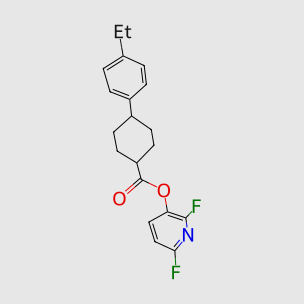 CCc1ccc(C2CCC(C(=O)Oc3ccc(F)nc3F)CC2)cc1